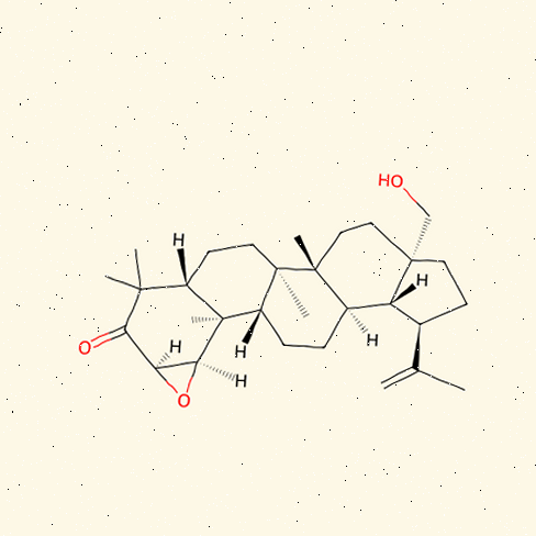 C=C(C)[C@@H]1CC[C@]2(CO)CC[C@]3(C)[C@H](CC[C@@H]4[C@@]5(C)[C@H]6O[C@H]6C(=O)C(C)(C)[C@@H]5CC[C@]43C)[C@@H]12